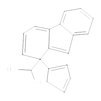 CC(C)C1(C2=CC=CC2)C=CC=C2C1=Cc1ccccc12